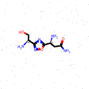 NC(=O)C[C@H](N)c1nc([C@@H](N)CO)no1